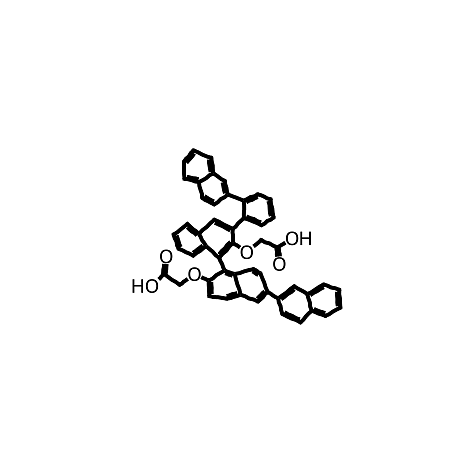 O=C(O)COc1ccc2cc(-c3ccc4ccccc4c3)ccc2c1-c1c(OCC(=O)O)c(-c2ccccc2-c2ccc3ccccc3c2)cc2ccccc12